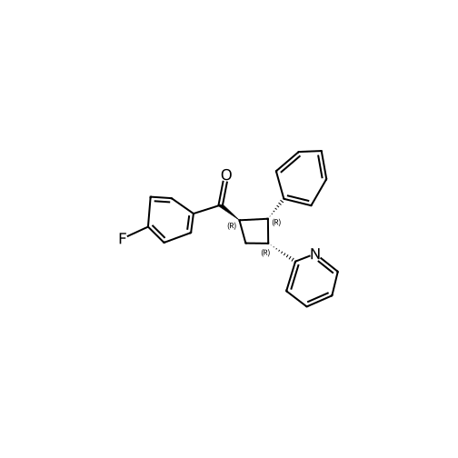 O=C(c1ccc(F)cc1)[C@@H]1C[C@@H](c2ccccn2)[C@H]1c1ccccc1